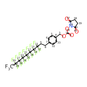 O=C(OCc1ccc(CCC(F)(F)C(F)(F)C(F)(F)C(F)(F)C(F)(F)C(F)(F)C(F)(F)C(F)(F)F)cc1)ON1C(=O)CCC1=O